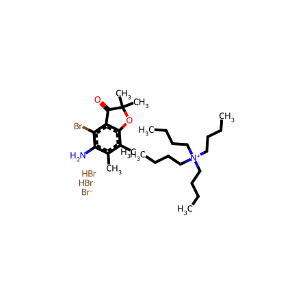 Br.Br.CCCC[N+](CCCC)(CCCC)CCCC.Cc1c(C)c2c(c(Br)c1N)C(=O)C(C)(C)O2.[Br-]